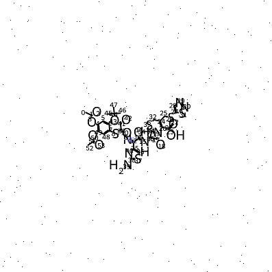 CC(=O)Oc1ccc(S[C@@H](O/N=C(\C(=O)N[C@@H]2C(=O)N3C(C(=O)O)=C(CSc4cnns4)CS[C@@H]23)c2csc(N)n2)C(=O)OC(C)(C)C)cc1OC(C)=O